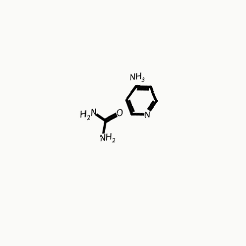 N.NC(N)=O.c1ccncc1